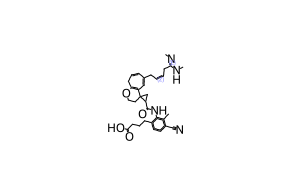 C/N=C(\C/C=C\CC1=CC2=C(CC=C1)OCCC21CC1C(=O)Nc1c(CCCC(=O)O)ccc(C#N)c1C)NC